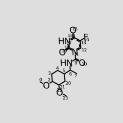 COC1CCC(C(C)NC(=O)n2cc(F)c(=O)[nH]c2=O)CC1OC